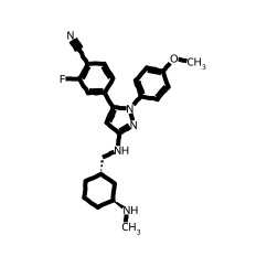 CN[C@H]1CCC[C@H](CNc2cc(-c3ccc(C#N)c(F)c3)n(-c3ccc(OC)cc3)n2)C1